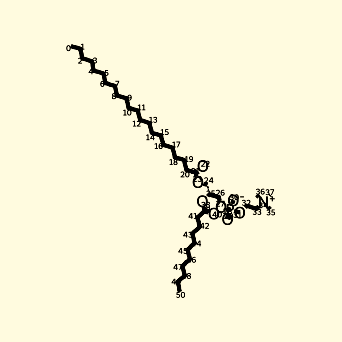 CCCCCCCCCCCCCCCCCCCCCC(=O)OC[C@H](COP(=O)([O-])OCC[N+](C)(C)C)OC(=O)CCCCCCCCCC